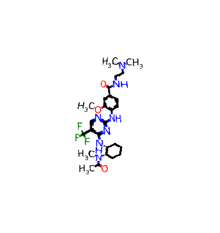 COc1cc(C(=O)NCCN(C)C)ccc1Nc1ncc(C(F)(F)F)c(N[C@@H]2CCCC[C@H]2N(C)C(C)=O)n1